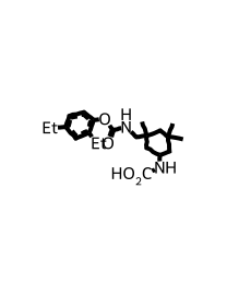 CCc1ccc(OC(=O)NCC2(C)CC(NC(=O)O)CC(C)(C)C2)c(CC)c1